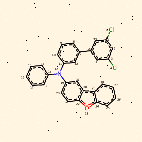 Clc1cc(Cl)cc(-c2cccc(N(c3ccccc3)c3ccc4oc5ccccc5c4c3)c2)c1